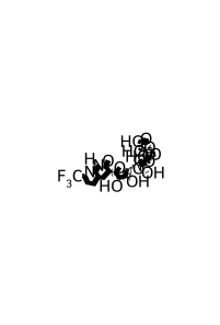 O=c1nc2[nH]c(C(F)(F)F)ccc-2cc1[C@@H]1O[C@H](COP(=O)(O)OP(=O)(O)OP(=O)(O)O)[C@H](O)C1O